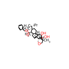 CC(C)[C@@H](C)[C@@]1(C)CC[C@]2(C)[C@H]3CC[C@@H]4[C@@]5(COC[C@@]4(C)[C@@H](O)[C@H](O)C5)C3=CC[C@@]2(C)[C@@H]1C(=O)OCc1ccccc1